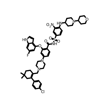 CC1(C)CCC(CN2CCN(c3ccc(C(=O)NS(=O)(=O)c4ccc(NC5CCN(C6CCOCC6)CC5)c([N+](=O)[O-])c4)c(Oc4cc(F)cc5[nH]ccc45)c3)CC2)=C(c2ccc(Cl)cc2)C1